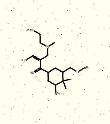 CCCCCC1CC(C(=N)/C(=C\N)CN(C)CCNC)CC(COCCC)C1(C)C